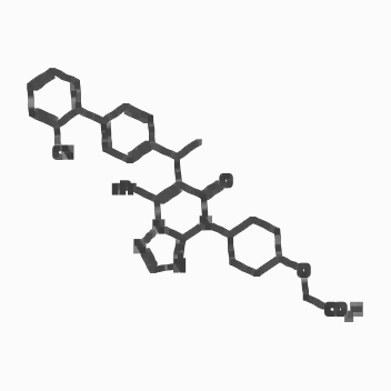 CCCc1c(C(C)c2ccc(-c3ccccc3C#N)cc2)c(=O)n(C2CCC(OCC(=O)O)CC2)c2ncnn12